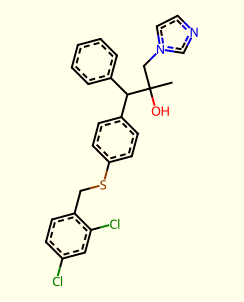 CC(O)(Cn1ccnc1)C(c1ccccc1)c1ccc(SCc2ccc(Cl)cc2Cl)cc1